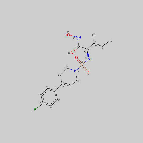 CC[C@@H](C)[C@@H](NS(=O)(=O)N1CC=C(c2ccc(F)cc2)CC1)C(=O)NO